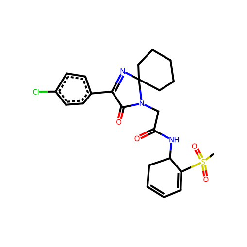 CS(=O)(=O)C1=CC=CCC1NC(=O)CN1C(=O)C(c2ccc(Cl)cc2)=NC12CCCCC2